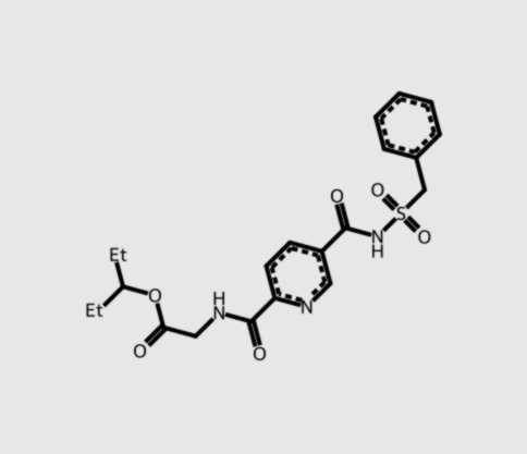 CCC(CC)OC(=O)CNC(=O)c1ccc(C(=O)NS(=O)(=O)Cc2ccccc2)cn1